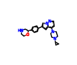 c1cc(N2CCN(C3CC3)CC2)c2cc(-c3ccc([C@@H]4CNCCO4)cc3)cn2n1